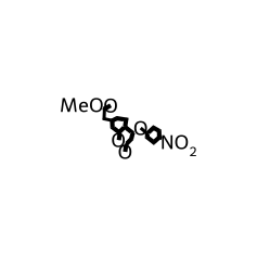 COC(=O)Cc1ccc2c(Oc3ccc([N+](=O)[O-])cc3)cc(=O)oc2c1